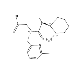 Cc1cccc(C[C@H](CC(=O)O)C(=O)N(C)[C@H]2CCCC[C@@H]2N)n1